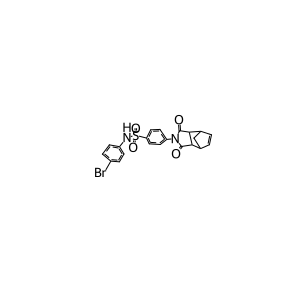 O=C1C2C3C=CC(C3)C2C(=O)N1c1ccc(S(=O)(=O)Nc2ccc(Br)cc2)cc1